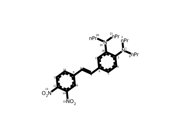 CCCN(CCC)c1ccc(C=Cc2ccc([N+](=O)[O-])c([N+](=O)[O-])c2)cc1N(CCC)CCC